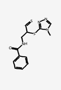 Cn1cnnc1SC([C]=S)CNC(=O)c1ccccc1